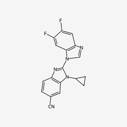 N#Cc1ccc2nc(-n3cnc4cc(F)c(F)cc43)n(C3CC3)c2c1